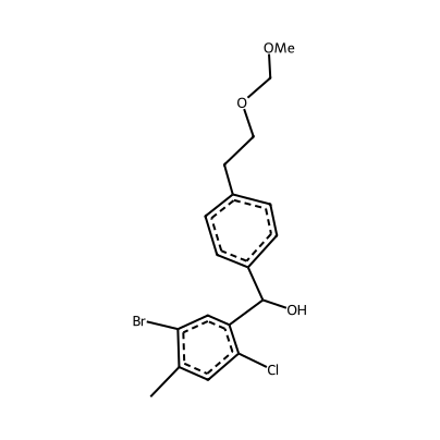 COCOCCc1ccc(C(O)c2cc(Br)c(C)cc2Cl)cc1